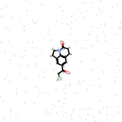 O=C(CCl)c1cc2c3c(c1)CCN3C(=O)CC2